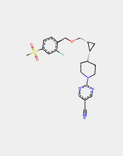 CS(=O)(=O)c1ccc(COC[C@@H]2C[C@@H]2C2CCN(c3ncc(C#N)cn3)CC2)c(F)c1